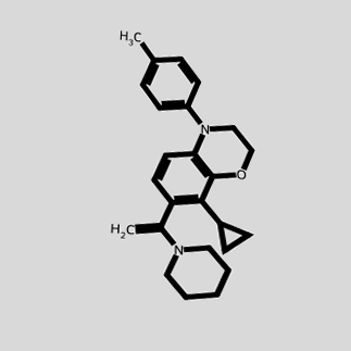 C=C(c1ccc2c(c1C1CC1)OCCN2c1ccc(C)cc1)N1CCCCC1